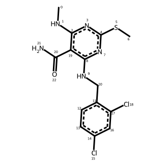 CNc1nc(SC)nc(NCc2ccc(Cl)cc2Cl)c1C(N)=O